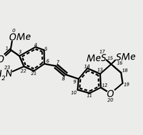 COC(=O)c1ccc(C#Cc2ccc3c(c2)C(SC)(SC)CCO3)cc1N